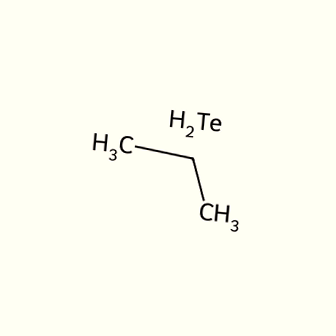 CCC.[TeH2]